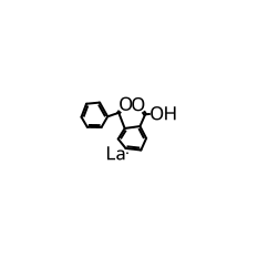 O=C(O)c1ccccc1C(=O)c1ccccc1.[La]